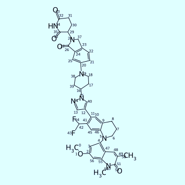 COc1cc(N2CCCc3cc(-c4cnn(C5CCN(c6ccc7c(c6)C(=O)N(C6CCC(=O)NC6=O)C7)CC5)c4)c(C(F)F)cc32)c2cc(C)c(=O)n(C)c2c1